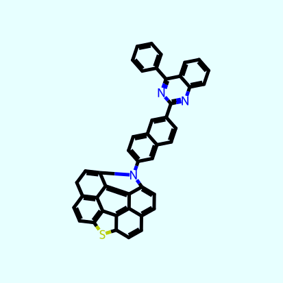 C1=CC2Sc3ccc4c5c3c2c2c1ccc1c2c5c(n1-c1ccc2cc(-c3nc(-c5ccccc5)c5ccccc5n3)ccc2c1)=CC4